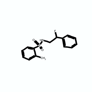 Cc1ccccc1S(=O)(=O)NCC(F)c1ccccc1